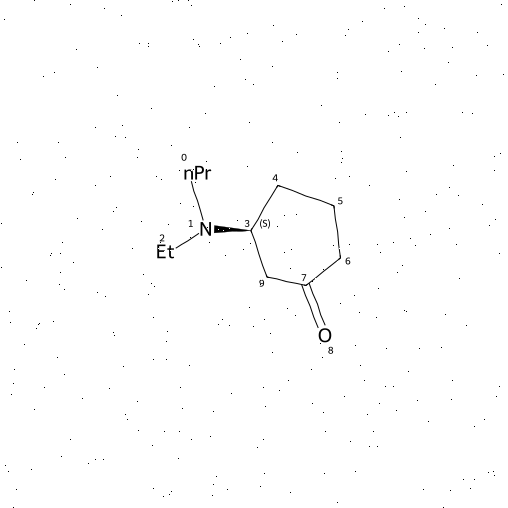 CCCN(CC)[C@H]1CCCC(=O)C1